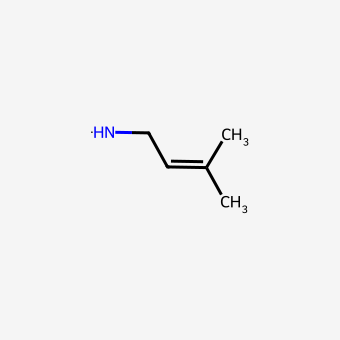 CC(C)=CC[NH]